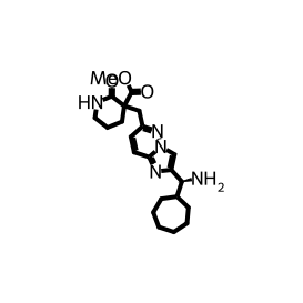 COC(=O)C1(Cc2ccc3nc([C@@H](N)C4CCCCCC4)cn3n2)CCCNC1=O